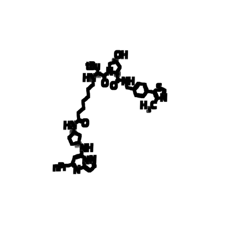 CCCc1cc(N[C@@H]2CC[C@@H](NC(=O)CCCCCCN[C@H](C(=O)N3C[C@H](O)C[C@H]3C(=O)NCc3ccc(-c4scnc4C)cc3)C(C)(C)C)C2)n2nccc2n1